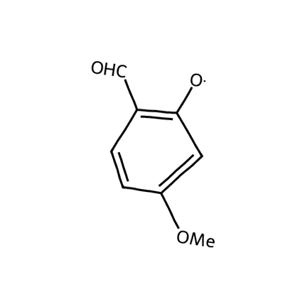 COc1ccc(C=O)c([O])c1